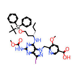 CCC[C@@H](CCO[Si](c1ccccc1)(c1ccccc1)C(C)(C)C)Nc1nc(NC(=O)OC)nc2c(I)nn(Cc3ncc(C(=O)O)cc3OC)c12